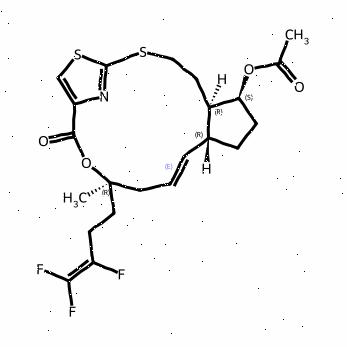 CC(=O)O[C@H]1CC[C@@H]2/C=C/C[C@@](C)(CCC(F)=C(F)F)OC(=O)c3csc(n3)SCC[C@@H]12